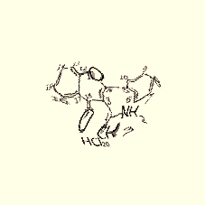 CC(N)c1c(-c2ccccc2)oc2ccccc2c1=O.Cl